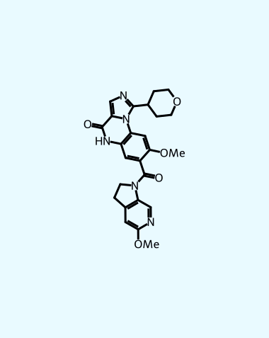 COc1cc2c(cn1)N(C(=O)c1cc3[nH]c(=O)c4cnc(C5CCOCC5)n4c3cc1OC)CC2